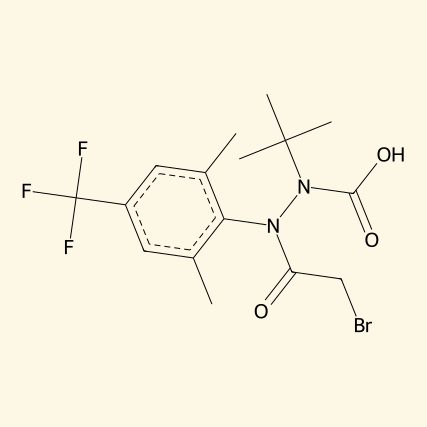 Cc1cc(C(F)(F)F)cc(C)c1N(C(=O)CBr)N(C(=O)O)C(C)(C)C